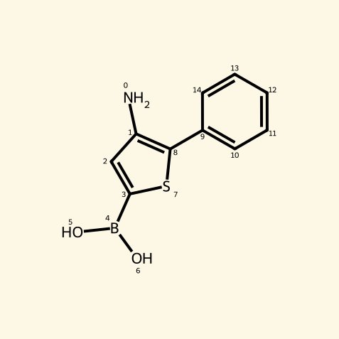 Nc1cc(B(O)O)sc1-c1ccccc1